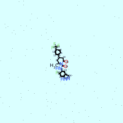 CC1CC(c2ccc(C(F)(F)F)cc2)CC(=O)N1C(=O)Nc1cc2cn[nH]c2cc1F